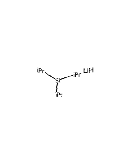 CC(C)[Si](C(C)C)C(C)C.[LiH]